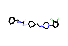 O=C(NCc1ccccc1)N[C@H]1CC[C@H](CCN2CCN(c3cccc(Cl)c3Cl)CC2)CC1